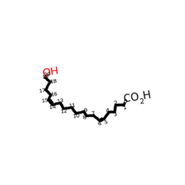 O=C(O)CCCC/C=C\CCCCCCC/C=C\CCCCO